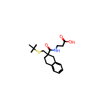 CC(C)(C)SCC1(C(=O)NCCC(=O)O)CCc2ccccc2C1